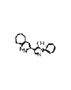 Cc1c(-c2cc3c(nn2)CCCCC3)cnn1-c1ccccc1